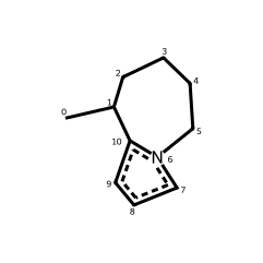 CC1CCCCn2cccc21